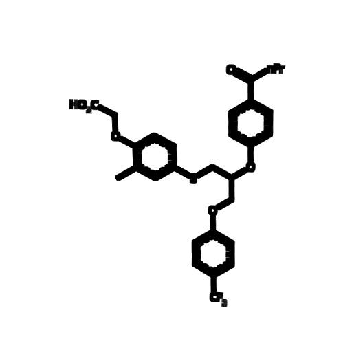 CCCC(=O)c1ccc(OC(COc2ccc(C(F)(F)F)cc2)CSc2ccc(OCC(=O)O)c(C)c2)cc1